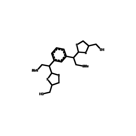 CSCC(c1cccc(C(CSC)C2SCC(CO)S2)c1)C1SCC(CO)S1